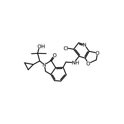 CC(C)(O)C(C1CC1)N1Cc2cccc(CNc3c(Cl)cnc4c3OCO4)c2C1=O